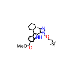 COC(=O)c1ccc2c(C3CCCCC3)c(-c3c(C)ncn3COCC[Si](C)(C)C)[nH]c2c1